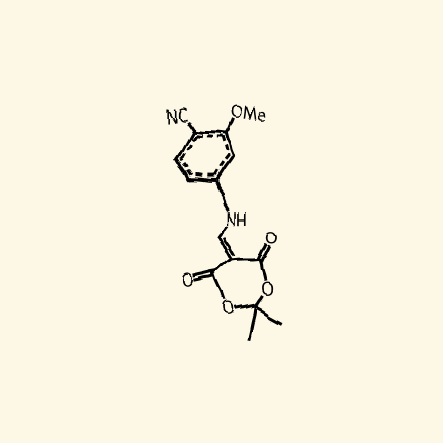 COc1cc(NC=C2C(=O)OC(C)(C)OC2=O)ccc1C#N